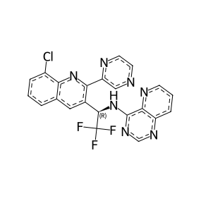 FC(F)(F)[C@H](Nc1ncnc2cccnc12)c1cc2cccc(Cl)c2nc1-c1cnccn1